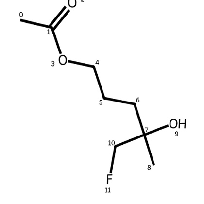 CC(=O)OCCCC(C)(O)CF